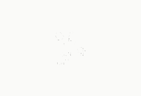 Cn1ncc2c1CN(C(=O)OC(C)(C)C)CC2ON1C(=O)c2ccccc2C1=O